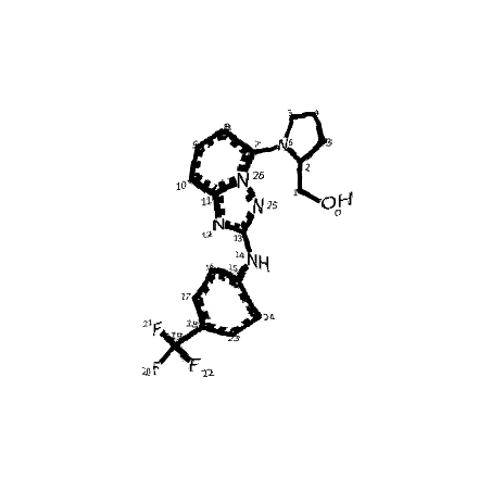 OCC1CCCN1c1cccc2nc(Nc3ccc(C(F)(F)F)cc3)nn12